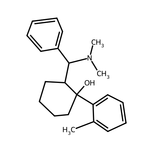 Cc1ccccc1C1(O)CCCCC1C(c1ccccc1)N(C)C